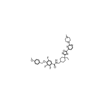 CCC1(c2noc(-c3ccnc(N4CCN(C)CC4)n3)n2)CCC(CNC(=O)c2cc(F)c(OCc3ccc(OC)cc3)c(F)c2F)CC1